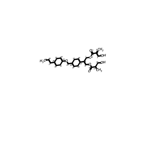 C=C(CO)C(=O)OCC(COC(=O)C(C)CO)C1CCC(COC2CCC(CCC)CC2)CC1